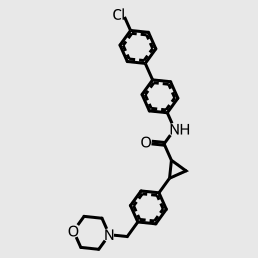 O=C(Nc1ccc(-c2ccc(Cl)cc2)cc1)C1CC1c1ccc(CN2CCOCC2)cc1